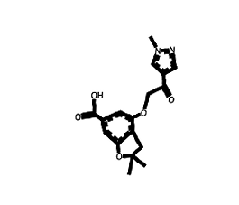 Cn1cc(C(=O)COc2cc(C(=O)O)cc3c2CC(C)(C)O3)cn1